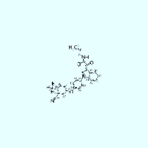 C=CCNC(=O)C(=O)c1cn(-c2ccc(Oc3ccc(C(F)(F)F)c(C#N)c3)cc2)c2ccccc12